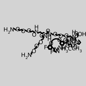 CC(C)[C@H](NC(=O)[C@@H]1CCCN1C(=O)[C@H](CC(=O)O)NC(=O)CCOCCOCCOCCNC(=O)[C@H](CCCCNC(=O)CCOCCOCCOCCN)NC(=O)CCOCCOCCOCCN)C(=O)N=[S@@](C)(=O)Cc1cc2cc(c1)OCCCCOc1cc(F)ccc1-c1nc(ncc1F)N2